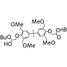 CCCCOC(=O)COc1c(COC)cc(C(C)(C)c2cc(COC)c(OCC(O)OCCCC)c(COC)c2)cc1COC